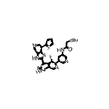 CC(C)(C)CC(=O)Nc1cncc(-c2ncc3[nH]nc(-c4nc5c(-c6cccs6)cncc5[nH]4)c3c2F)c1